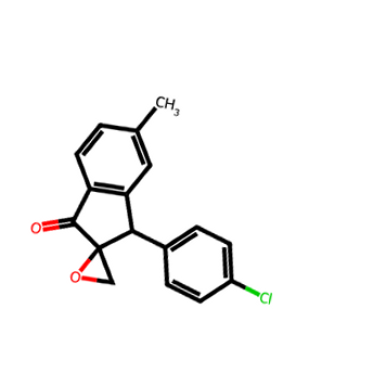 Cc1ccc2c(c1)C(c1ccc(Cl)cc1)C1(CO1)C2=O